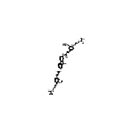 C=C(C)C(=O)OCCCOc1ccc(C=CC(=O)Oc2ccc3c(c2)C(C)c2cc(OC(=O)C=Cc4ccc(OCCCOC(=O)C(=C)C)c(OC)c4)ccc2-3)cc1CO